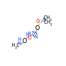 CNCc1ccc(-c2nnc(-c3cncc(-c4ccc([S+]([O-])CCN(C)C)cc4)n3)o2)cc1